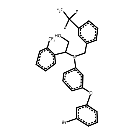 CC(C)c1cccc(Oc2cccc(N(Cc3cccc(C(F)(F)C(F)(F)F)c3)C(CO)c3ccccc3C(F)(F)F)c2)c1